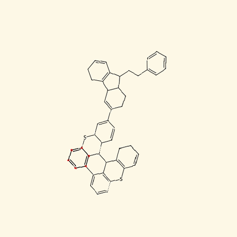 C1=CC2=C(CC1)C1C=C(C3=CC4Sc5ccccc5C(C5C6=C(C=CCC6)Sc6cccc(-c7ccccc7)c65)C4C=C3)CCC1C2CCc1ccccc1